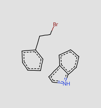 BrCCc1ccccc1.c1ccc2[nH]ccc2c1